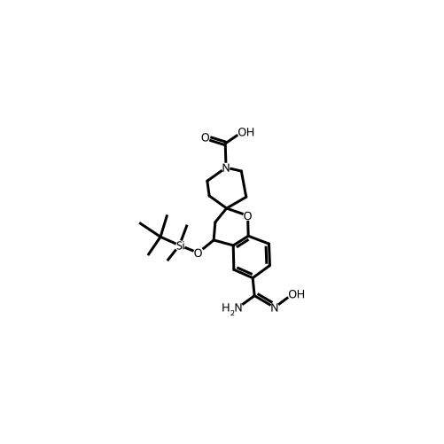 CC(C)(C)[Si](C)(C)OC1CC2(CCN(C(=O)O)CC2)Oc2ccc(/C(N)=N\O)cc21